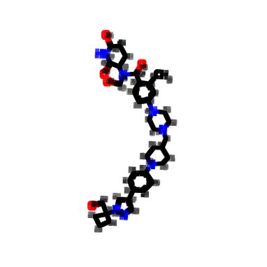 Cc1cc(N2CCN(CC3CCN(c4ccc(-c5cnn(C6(C=O)CCC6)c5)cc4)CC3)CC2)ccc1C(=O)N(C=O)C1CCC(=O)NC1=O